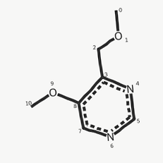 COCc1ncncc1OC